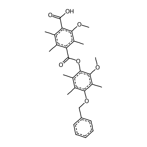 COc1c(C)c(OCc2ccccc2)c(C)c(C)c1OC(=O)c1c(C)c(C)c(C(=O)O)c(OC)c1C